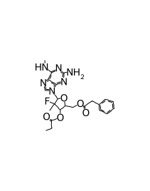 CCC(=O)OC1C(COC(=O)Cc2ccccc2)OC(n2cnc3c(NC)nc(N)nc32)C1(C)F